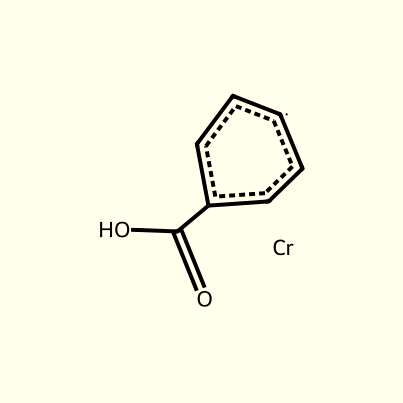 O=C(O)c1cc[c]cc1.[Cr]